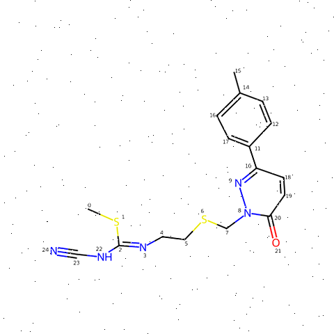 CSC(=NCCSCn1nc(-c2ccc(C)cc2)ccc1=O)NC#N